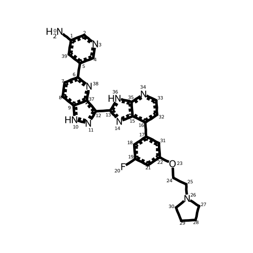 Nc1cncc(-c2ccc3[nH]nc(-c4nc5c(-c6cc(F)cc(OCCN7CCCC7)c6)ccnc5[nH]4)c3n2)c1